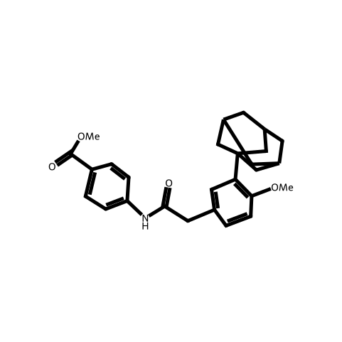 COC(=O)c1ccc(NC(=O)Cc2ccc(OC)c(C34CC5CC(CC(C5)C3)C4)c2)cc1